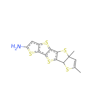 CC1=CC2(C)Sc3c(sc4c3sc3cc(N)sc34)C2S1